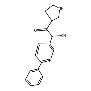 N#CN(C(=O)C1CCNC1)c1ccc(-c2ccccc2)nc1